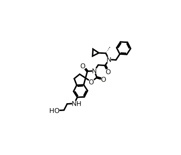 C[C@@H](C1CC1)N(Cc1ccccc1)C(=O)CN1C(=O)OC2(CCc3cc(NCCO)ccc32)C1=O